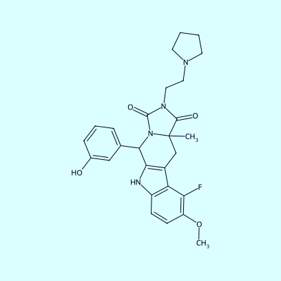 COc1ccc2[nH]c3c(c2c1F)CC1(C)C(=O)N(CCN2CCCC2)C(=O)N1C3c1cccc(O)c1